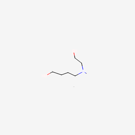 CN(CCO)CCCCO.Cl